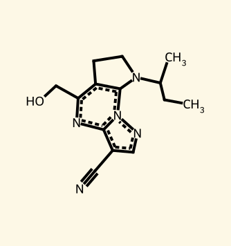 CCC(C)N1CCc2c(CO)nc3c(C#N)cnn3c21